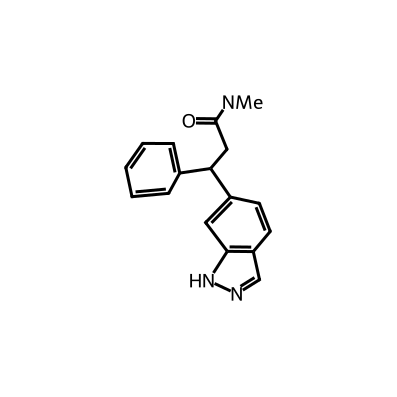 CNC(=O)CC(c1ccccc1)c1ccc2cn[nH]c2c1